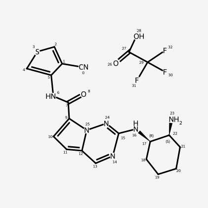 N#Cc1cscc1NC(=O)c1ccc2cnc(N[C@@H]3CCCC[C@@H]3N)nn12.O=C(O)C(F)(F)F